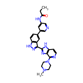 CCC(=O)Nc1cncc(-c2ccc3[nH]nc(-c4nc5c(N6CCN(C)CC6)nccc5[nH]4)c3c2)c1